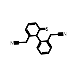 N#CCC1=CC=CC(=S)C1c1ccccc1CC#N